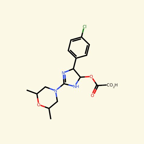 CC1CN(C2=NC(c3ccc(Cl)cc3)C(OC(=O)C(=O)O)N2)CC(C)O1